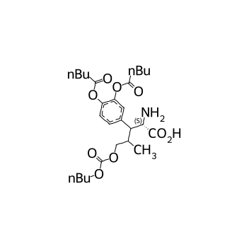 CCCCOC(=O)OCC(C)C(c1ccc(OC(=O)CCCC)c(OC(=O)CCCC)c1)[C@H](N)C(=O)O